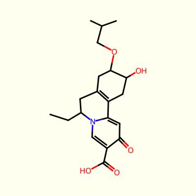 CCC1CC2=C(CC(O)C(OCC(C)C)C2)c2cc(=O)c(C(=O)O)cn21